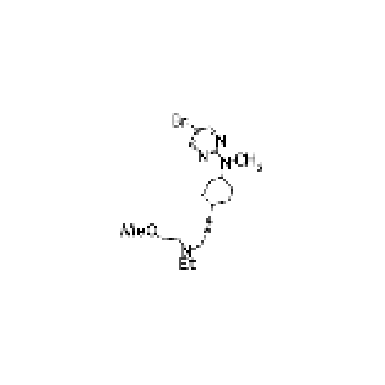 CCN(CC#C[C@H]1CC[C@H](N(C)c2ncc(Br)cn2)CC1)CCOC